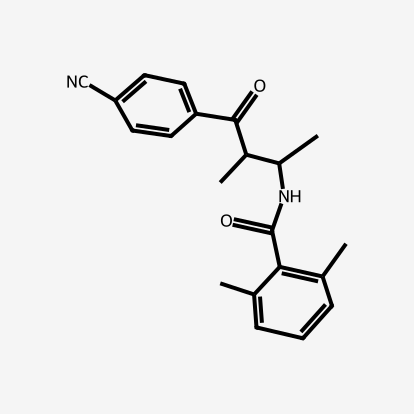 Cc1cccc(C)c1C(=O)NC(C)C(C)C(=O)c1ccc(C#N)cc1